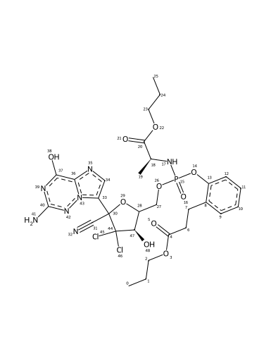 CCCOC(=O)CCc1ccccc1OP(=O)(N[C@@H](C)C(=O)OCCC)OCC1OC(C#N)(c2cnc3c(O)nc(N)nn23)C(Cl)(Cl)[C@@H]1O